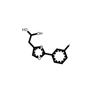 OC(O)Cc1coc(-c2cccc(I)c2)n1